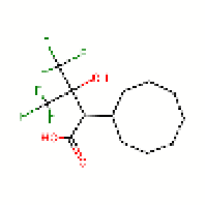 O=C(O)C(C1CCCCCCC1)C(O)(C(F)(F)F)C(F)(F)F